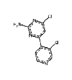 Nc1nc(Cl)cc(-c2ccncc2Cl)n1